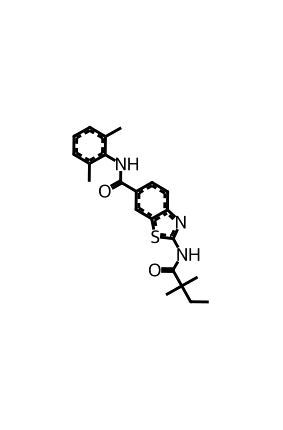 CCC(C)(C)C(=O)Nc1nc2ccc(C(=O)Nc3c(C)cccc3C)cc2s1